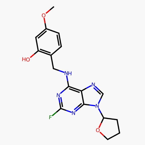 COc1ccc(CNc2nc(F)nc3c2ncn3C2CCCO2)c(O)c1